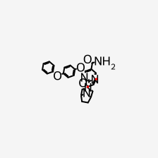 C=CC(=O)N1C2CCC1CN(c1ncc(C(N)=O)c(Oc3ccc(Oc4ccccc4)cc3)n1)C2